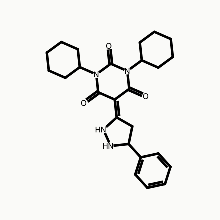 O=C1C(=C2CC(c3ccccc3)NN2)C(=O)N(C2CCCCC2)C(=O)N1C1CCCCC1